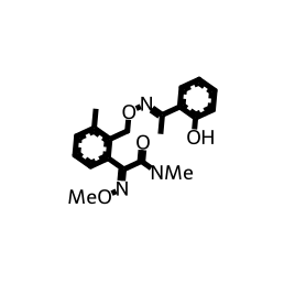 CNC(=O)/C(=N/OC)c1cccc(C)c1CO/N=C(\C)c1ccccc1O